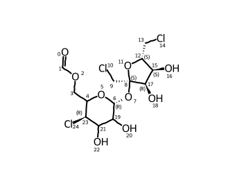 O=COCC1O[C@H](O[C@@]2(CCl)O[C@H](CCl)[C@@H](O)[C@H]2O)C(O)C(O)[C@H]1Cl